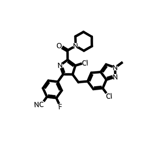 Cn1cc2cc(CC3C(c4ccc(C#N)c(F)c4)=NC(C(=O)N4CCCCC4)=C3Cl)cc(Cl)c2n1